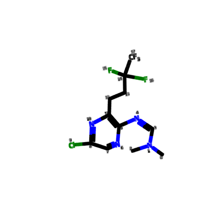 CN(C)/C=N\c1ncc(Cl)nc1CCC(F)(F)C(F)(F)F